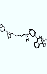 O=c1[nH]nc(-c2cccc(NCCCCCN[C@@H]3CCOC3)c2)c2ccccc12